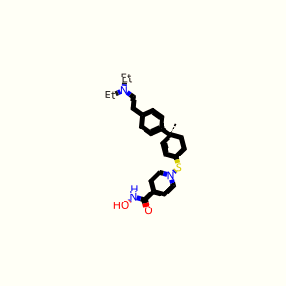 CCN(CC)CCC1C=CC([C@]2(C)C=CC(SN3CCC(C(=O)NO)CC3)CC2)=CC1